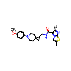 CCc1nc2sc(C)cn2c1C(=O)NCC1CC12CCN(c1ccc(OC(F)(F)F)cc1)CC2